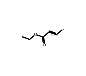 [CH2]/C=C/C(=O)OCC